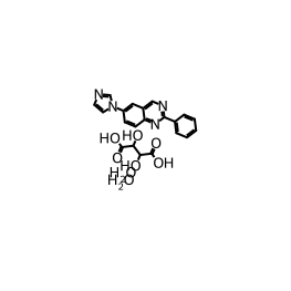 O.O.O=C(O)C(O)C(O)C(=O)O.c1ccc(-c2ncc3cc(-n4ccnc4)ccc3n2)cc1